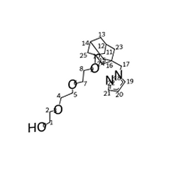 OCCOCCOCCOC12CC3CC(CC(Cn4cccn4)(C3)C1)C2